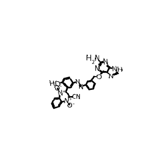 N#Cc1c(-c2cc(N=Nc3cccc(COc4nc(N)nc5[nH]cnc45)c3)ccc2O)[n+]([O-])c2ccccc2[n+]1[O-]